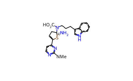 CNc1nccc(C2=CC[C@@](N)(N(CCCc3c[nH]c4ccccc34)C(=O)O)S2)n1